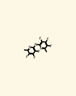 Cc1nc([N]c2nc(C)c(F)c(F)c2F)c(F)c(F)c1F